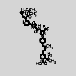 CN(CCC1CCN(C(=O)O)C(C(C)(C)C)C1)CC1CCC(n2cc(NC(=O)c3coc(-c4ccnc(N(CC5CC5)C(=O)OC(C)(C)C)c4)n3)c(C(F)F)n2)CC1